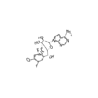 Nc1ncnc2c1ccn2[C@@H]1O[C@H]([C@H](O)c2ccc(Cl)c(F)c2)[C@](O)(C(F)(F)F)[C@H]1O